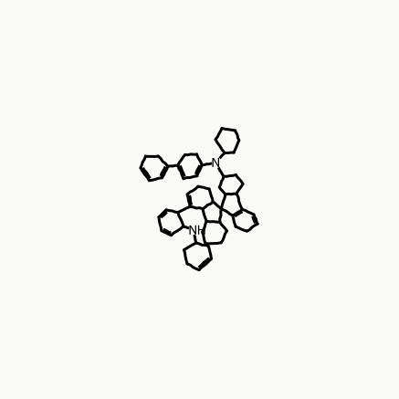 C1=CCCC(C2=CC=C(N(C3CCCCC3)C3CCC4C5=C(CCC=C5)C5(C4C3)C3CCCCC3C3C(C4C=CC=CC4NC4CC=CCC4)=CCCC35)CC2)=C1